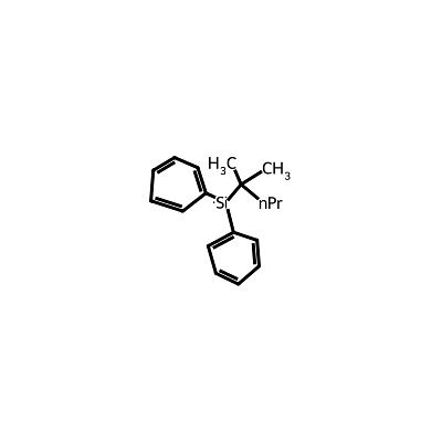 CCCC(C)(C)[Si](c1ccccc1)c1ccccc1